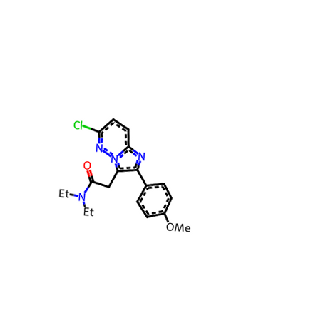 CCN(CC)C(=O)Cc1c(-c2ccc(OC)cc2)nc2ccc(Cl)nn12